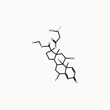 C[C@@H](O)CC(=O)OC1(C(=O)SCF)CCC2C3CC(F)C4=CC(=O)C=CC4(C)C3(F)C(O)CC21C